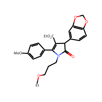 CCOCCCN1C(=O)C(c2ccc3c(c2)OCO3)C(C(=O)OCC)=C1c1ccc(OC)cc1